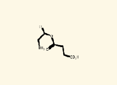 BCC(CC)OC(=O)CCC(=O)O